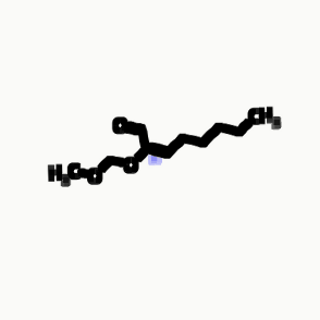 CCCCC/C=C(\C=O)OCOC